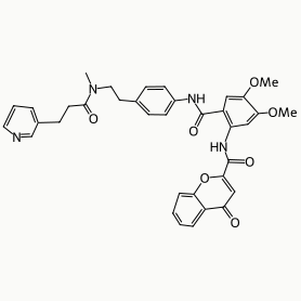 COc1cc(NC(=O)c2cc(=O)c3ccccc3o2)c(C(=O)Nc2ccc(CCN(C)C(=O)CCc3cccnc3)cc2)cc1OC